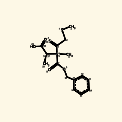 CSCC(=S)[N+](C)(C(=O)OCc1ccccc1)[C@@H](C)C(=O)O